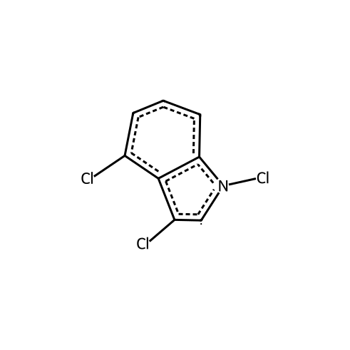 Clc1[c]n(Cl)c2cccc(Cl)c12